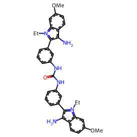 CCn1c(-c2cccc(NC(=O)Nc3cccc(-c4c(N)c5ccc(OC)cc5n4CC)c3)c2)c(N)c2ccc(OC)cc21